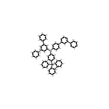 c1ccc(-c2cccc(-c3ccc(N(c4ccc(C5(c6ccccc6)c6ccccc6-c6ccccc65)cc4)c4cc(-c5ccccc5)cc(-c5ccccc5)c4)cc3)c2)cc1